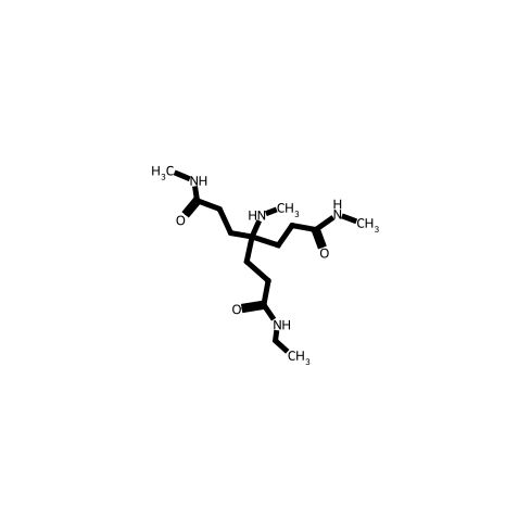 CCNC(=O)CCC(CCC(=O)NC)(CCC(=O)NC)NC